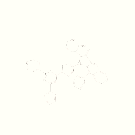 C1=CCCC(c2nc(-c3ccccc3)nc(C3C=CC(n4c5c(-c6ccccc6)c6ccccc6cc5c5ccc6ccccc6c54)=CC3)n2)=C1